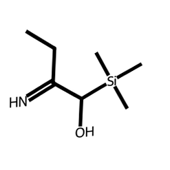 CCC(=N)C(O)[Si](C)(C)C